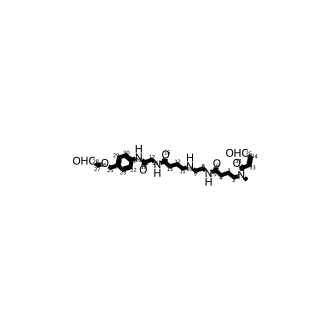 CN(CCCC(=O)NCCNCCCC(=O)NCC(=O)Nc1ccc(COCC=O)cc1)C(=O)/C=C\C=O